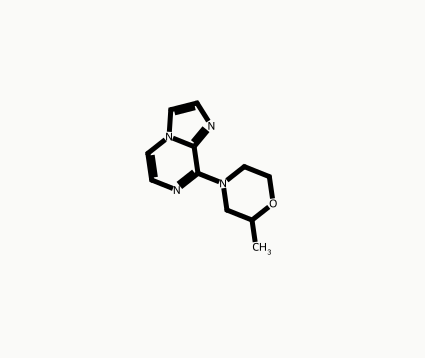 CC1CN(c2nccn3ccnc23)CCO1